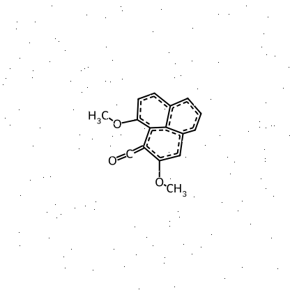 COc1cc2cccc3ccc(OC)c(c1=C=O)c32